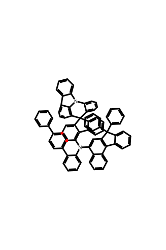 c1ccc(-c2ccc(-c3ccccc3N(c3cccc4c3-c3ccccc3C43c4ccccc4-n4c5ccccc5c5cccc3c54)c3cc4c(c5ccccc35)-c3ccccc3C4(c3ccccc3)c3ccccc3)cc2)cc1